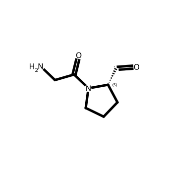 NCC(=O)N1CCC[C@H]1[C]=O